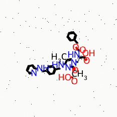 CC(=O)O.Cc1cn(C[C@H](NC(=O)OCc2ccccc2)C(=O)O)c(=O)nc1NCc1ccc(CNc2ccccn2)cc1